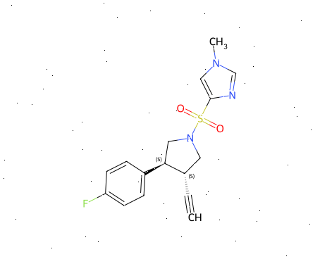 C#C[C@H]1CN(S(=O)(=O)c2cn(C)cn2)C[C@@H]1c1ccc(F)cc1